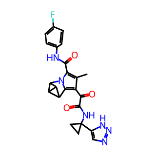 Cc1c(C(=O)C(=O)NC2(c3cnn[nH]3)CC2)c2n(c1C(=O)Nc1ccc(F)cc1)C1C3C2C31